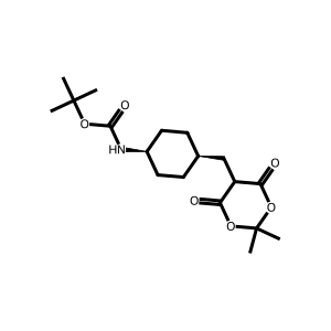 CC(C)(C)OC(=O)N[C@H]1CC[C@@H](CC2C(=O)OC(C)(C)OC2=O)CC1